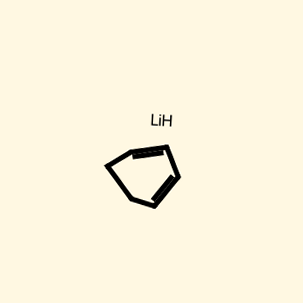 C1=CCCC=C1.[LiH]